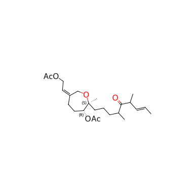 CC=CC(C)C(=O)C(C)CCC[C@]1(C)OCC(=CCOC(C)=O)CC[C@H]1OC(C)=O